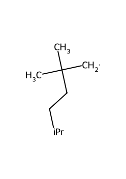 [CH2]C(C)(C)CCC(C)C